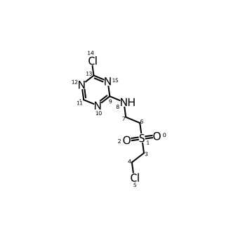 O=S(=O)(CCCl)CCNc1n[c]nc(Cl)n1